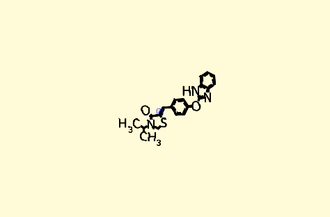 CC(C)N1CS/C(=C\c2ccc(Oc3nc4ccccc4[nH]3)cc2)C1=O